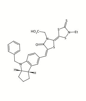 CCN1S/C(=c2\s/c(=C/c3ccc4c(c3)[C@@H]3CCC[C@@H]3N4Cc3ccccc3)c(=O)n2CC(=O)O)SC1=S